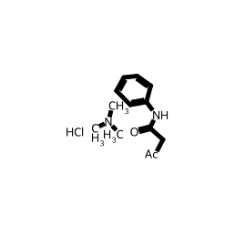 CC(=O)CC(=O)Nc1ccccc1.CN(C)C.Cl